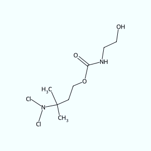 CC(C)(CCOC(=O)NCCO)N(Cl)Cl